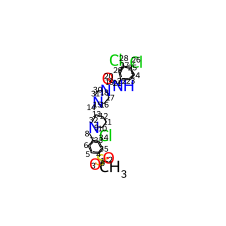 CS(=O)(=O)c1ccc(CN2CCC[C@@H](CN3CCN(C(=O)Nc4ccc(Cl)c(Cl)c4)CC3)C2)c(Cl)c1